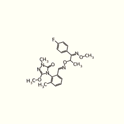 CON=C(c1ccc(F)cc1)C(C)ON=Cc1cccc(C)c1-n1c(OC)nn(C)c1=O